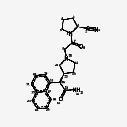 N#C[C@@H]1CCCN1C(=O)CN1CC[C@@H](C(C(N)=O)c2cccc3ccccc23)C1